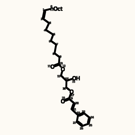 CCCCCCCC/C=C\CCCCCCCC(=O)OCC(O)COC(=O)/C=C/c1ccccc1